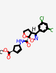 COC(=O)[C@@H]1C=C[C@H](NC(=O)[C@]23OCC[C@H]2C(c2cc(Cl)cc(Cl)c2)=NO3)C1